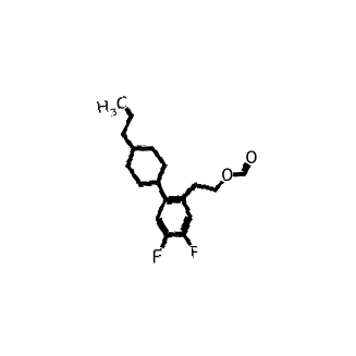 CCCC1CCC(c2cc(F)c(F)cc2CCOC=O)CC1